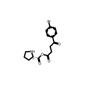 O=C(CCC(=O)c1ccc(Br)cc1)OC(=O)[C@@H]1CCCN1